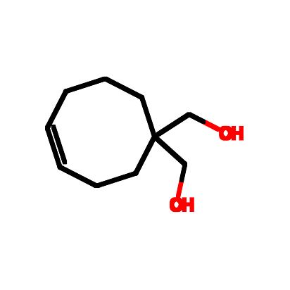 OCC1(CO)CCC=CCCC1